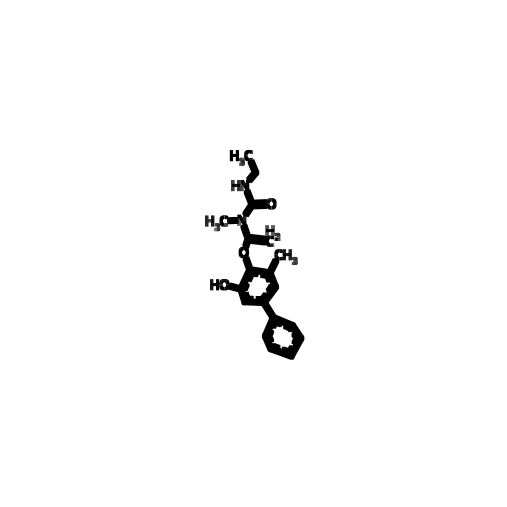 C=C(Oc1c(C)cc(-c2ccccc2)cc1O)N(C)C(=O)NCC